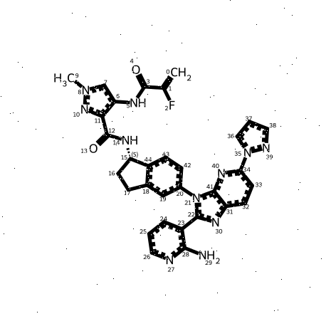 C=C(F)C(=O)Nc1cn(C)nc1C(=O)N[C@H]1CCc2cc(-n3c(-c4cccnc4N)nc4ccc(-n5cccn5)nc43)ccc21